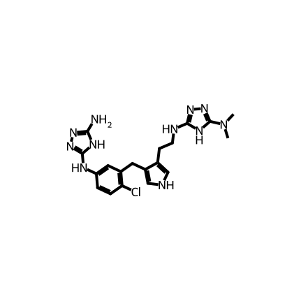 CN(C)c1nnc(NCCc2c[nH]cc2Cc2cc(Nc3nnc(N)[nH]3)ccc2Cl)[nH]1